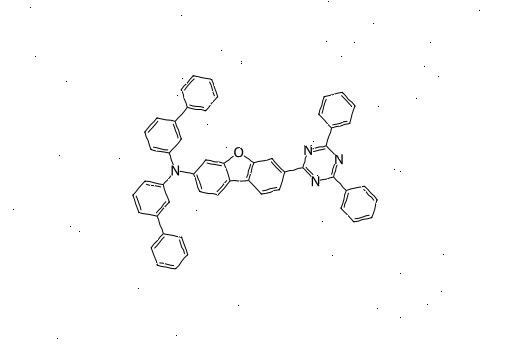 c1ccc(-c2cccc(N(c3cccc(-c4ccccc4)c3)c3ccc4c(c3)oc3cc(-c5nc(-c6ccccc6)nc(-c6ccccc6)n5)ccc34)c2)cc1